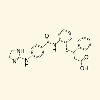 O=C(O)CC(Sc1ccccc1NC(=O)c1ccc(NC2=NCCN2)cc1)c1ccccc1